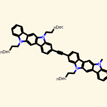 CCCCCCCCCCCCn1c2cc(C#Cc3ccc4c5cc6c(cc5n(CCCCCCCCCCCC)c4c3)c3ccccc3n6CCCCCCCCCCCC)ccc2c2cc3c(cc21)c1ccccc1n3C